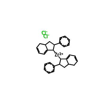 C1=CCC2CC(c3ccccc3)[CH]([Zr+2][CH]3C4=CC=CCC4CC3c3ccccc3)C2=C1.[Cl-].[Cl-]